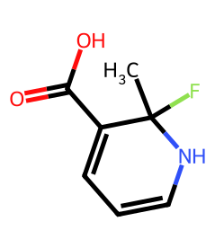 CC1(F)NC=CC=C1C(=O)O